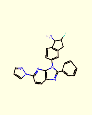 NC1c2ccc(-n3c(-c4ccccc4)nc4ccc(-n5cccn5)nc43)cc2CC1F